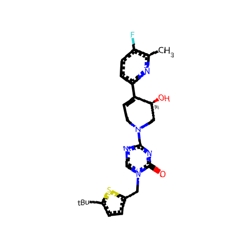 Cc1nc(C2=CCN(c3ncn(Cc4ccc(C(C)(C)C)s4)c(=O)n3)C[C@@H]2O)ccc1F